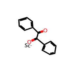 O=C(C(=O)c1ccccc1)c1ccccc1.[Sc]